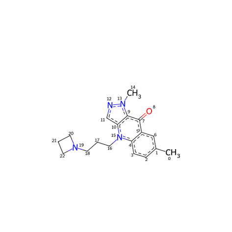 Cc1ccc2c(c1)c(=O)c1c(cnn1C)n2CCCN1CCC1